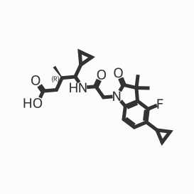 C[C@H](CC(=O)O)C(NC(=O)CN1C(=O)C(C)(C)c2c1ccc(C1CC1)c2F)C1CC1